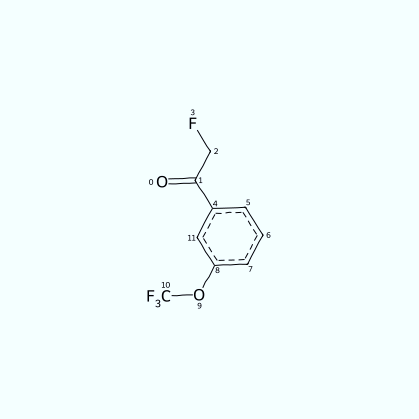 O=C(CF)c1cccc(OC(F)(F)F)c1